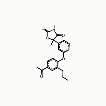 CCCc1cc(C(C)=O)ccc1Oc1cccc(C2(C)OC(=O)NC2=O)c1